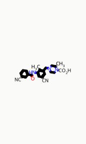 Cc1c(CN2CCN(C(=O)O)[C@@H](C)C2)cc(C#N)cc1NC(=O)c1cccc(C#N)c1